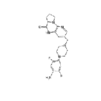 Nc1cc(F)c(N2CCN(Cc3cnc4c(c3)NC(=O)C3CCCN43)CC2)cc1F